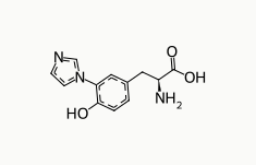 N[C@@H](Cc1ccc(O)c(-n2ccnc2)c1)C(=O)O